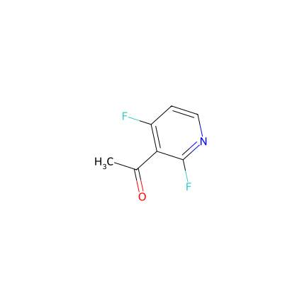 CC(=O)c1c(F)ccnc1F